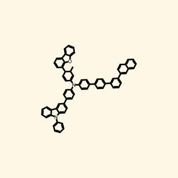 CC1C=C(N(c2ccc(-c3ccc(-c4cccc(-c5ccc6ccccc6c5)c4)cc3)cc2)c2ccc(-c3ccc4c(c3)c3ccccc3n4-c3ccccc3)cc2)C=CC1c1cccc2c1oc1ccccc12